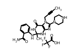 CC#CCn1c(N2CCNCC2)nc2c1C(=O)NC(C)(Nc1ccccc1C(N)=O)N2.O=C(O)C(F)(F)F